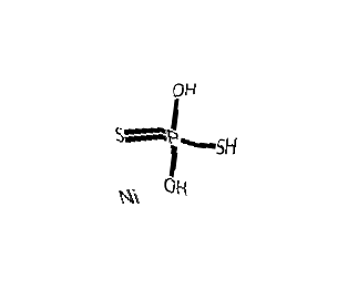 OP(O)(=S)S.[Ni]